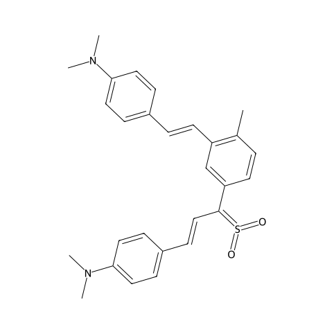 Cc1ccc(C(C=Cc2ccc(N(C)C)cc2)=S(=O)=O)cc1C=Cc1ccc(N(C)C)cc1